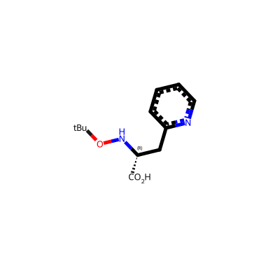 CC(C)(C)ON[C@H](Cc1ccccn1)C(=O)O